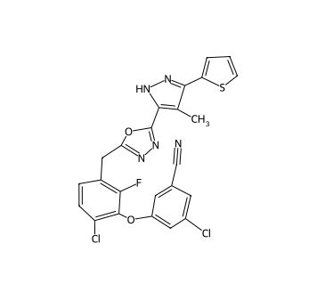 Cc1c(-c2cccs2)n[nH]c1-c1nnc(Cc2ccc(Cl)c(Oc3cc(Cl)cc(C#N)c3)c2F)o1